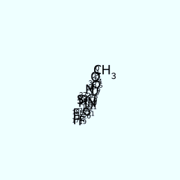 CCOc1ccc2cc(CNCc3ccc(C(F)(F)F)cc3)c(-c3ccsc3)nc2c1